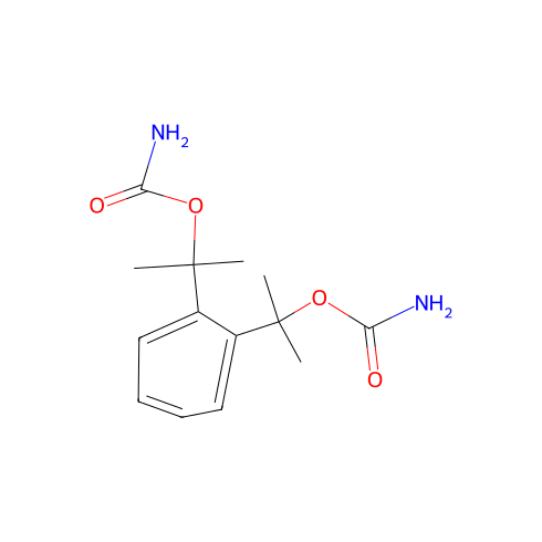 CC(C)(OC(N)=O)c1ccccc1C(C)(C)OC(N)=O